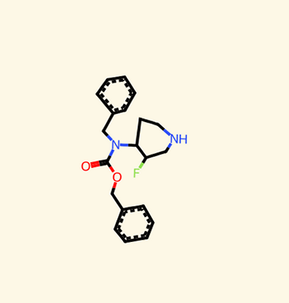 O=C(OCc1ccccc1)N(Cc1ccccc1)C1CCNCC1F